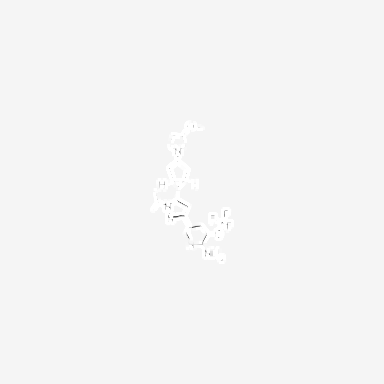 CO[C@@H]1CCN([C@H]2C[C@@H]3[C@H](C2)[C@H]3c2cc(-c3cnc(N)c(OC(F)(F)F)c3)nn2C(C)C)C1